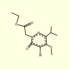 CCOC(=O)Cn1nc(C(C)C)c(OC)c(Br)c1=O